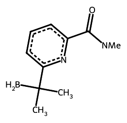 BC(C)(C)c1cccc(C(=O)NC)n1